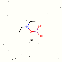 CCN(CC)OP(O)O.[Ni]